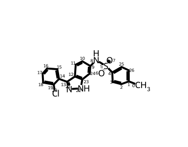 Cc1ccc(S(=O)(=O)Nc2ccc3c(-c4ccccc4Cl)n[nH]c3c2)cc1